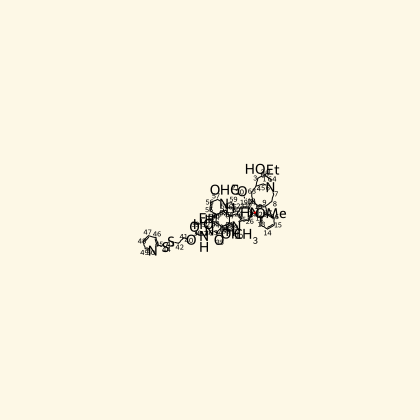 CC[C@]1(O)CC2CN(CCc3c([nH]c4ccccc34)[C@@](COC=O)(c3cc4c(cc3OC)N(C)[C@H]3[C@@](O)(C(=O)NNC(=O)OCCSSc5ccccn5)[C@H](O)[C@]5(CC)C=CCN6CC[C@]43[C@@H]65)C2)C1